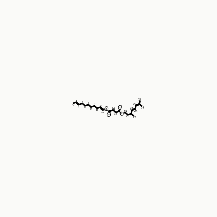 CC=CCCCCCCC=COC(=O)CCC(=O)OCCC(C)CCC=C(C)C